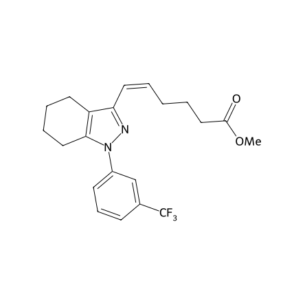 COC(=O)CCC/C=C\c1nn(-c2cccc(C(F)(F)F)c2)c2c1CCCC2